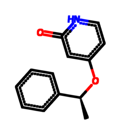 C[C@H](Oc1cc[nH]c(=O)c1)c1ccccc1